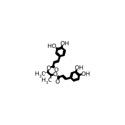 C[C@H](OC(=O)C=Cc1ccc(O)c(O)c1)[C@H](C)OC(=O)C=Cc1ccc(O)c(O)c1